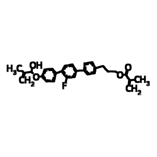 C=C(C)C(=O)OCCCc1ccc(-c2ccc(-c3ccc(OC(O)C(=C)C)cc3)c(F)c2)cc1